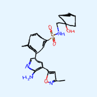 Cc1cc(-c2cc(-c3cc(S(=O)(=O)NCC4(O)CCCC4)ccc3C)cnc2N)on1